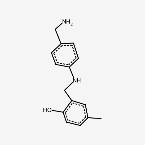 Cc1ccc(O)c(CNc2ccc(CN)cc2)c1